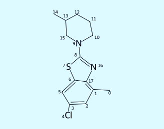 Cc1cc(Cl)cc2sc(N3CCCC(C)C3)nc12